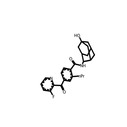 CCCc1cc(C(=O)c2ncccc2F)ccc1C(=O)NC1C2CC3CC1CC(O)(C3)C2